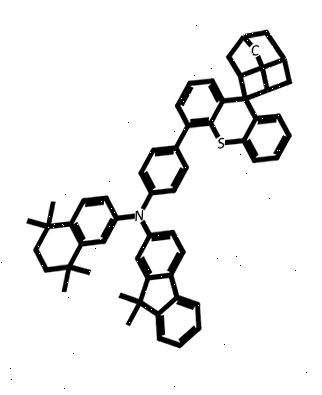 CC1(C)CCC(C)(C)c2cc(N(c3ccc(-c4cccc5c4Sc4ccccc4C54C5CC6CC7CC4C75C6)cc3)c3ccc4c(c3)C(C)(C)c3ccccc3-4)ccc21